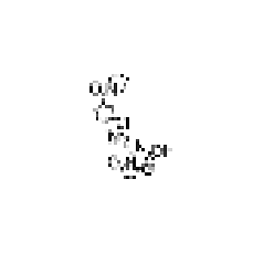 O=C(c1ccc(CN2CC3CN(C(=O)O)C(N4C(=O)CCC4=O)C3C2)c(Cl)c1)N1CCCCC1